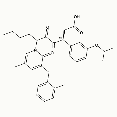 CCCCC(C(=O)N[C@@H](CC(=O)O)c1cccc(OC(C)C)c1)n1cc(C)cc(Cc2ccccc2C)c1=O